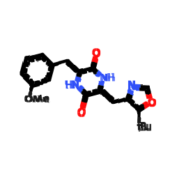 COc1cccc(C=c2[nH]c(=O)c(=Cc3ncoc3C(C)(C)C)[nH]c2=O)c1